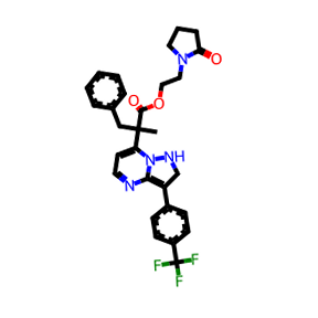 CC(Cc1ccccc1)(C(=O)OCCN1CCCC1=O)C1=CC=NC2=C(c3ccc(C(F)(F)F)cc3)CNN12